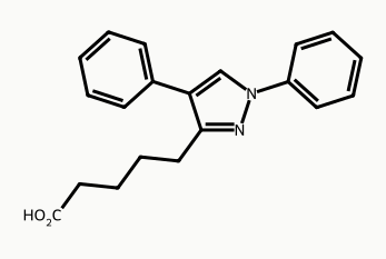 O=C(O)CCCCc1nn(-c2ccccc2)cc1-c1ccccc1